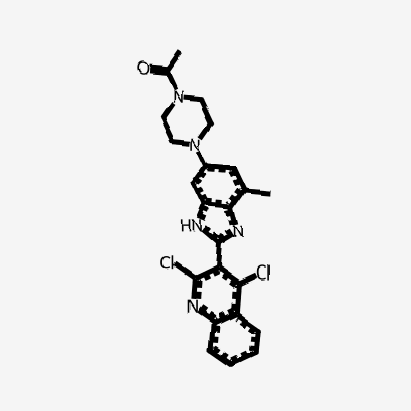 CC(=O)N1CCN(c2cc(C)c3nc(-c4c(Cl)nc5ccccc5c4Cl)[nH]c3c2)CC1